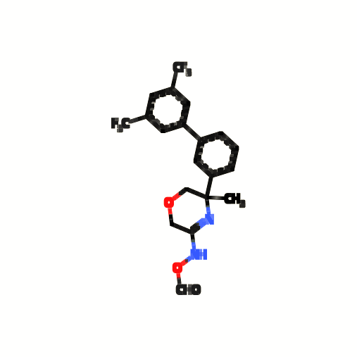 CC1(c2cccc(-c3cc(C(F)(F)F)cc(C(F)(F)F)c3)c2)COCC(NOC=O)=N1